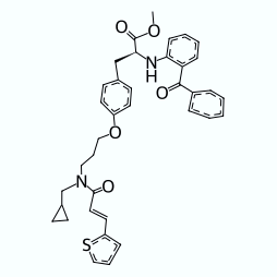 COC(=O)[C@H](Cc1ccc(OCCCN(CC2CC2)C(=O)/C=C/c2cccs2)cc1)Nc1ccccc1C(=O)c1ccccc1